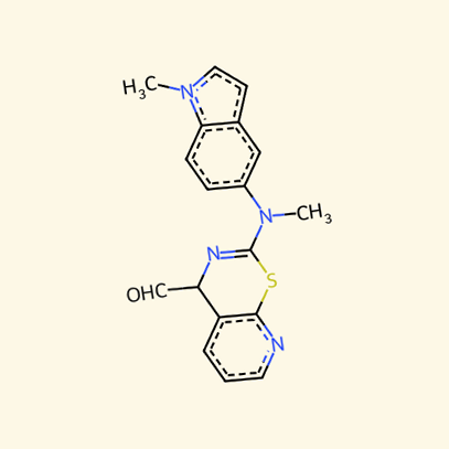 CN(C1=NC(C=O)c2cccnc2S1)c1ccc2c(ccn2C)c1